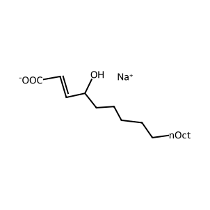 CCCCCCCCCCCCCC(O)C=CC(=O)[O-].[Na+]